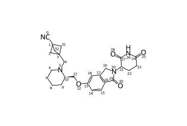 N#CC12CC(CN3CCCC[C@@H]3COc3ccc4c(c3)CN(C3CCC(=O)NC3=O)C4=O)(C1)C2